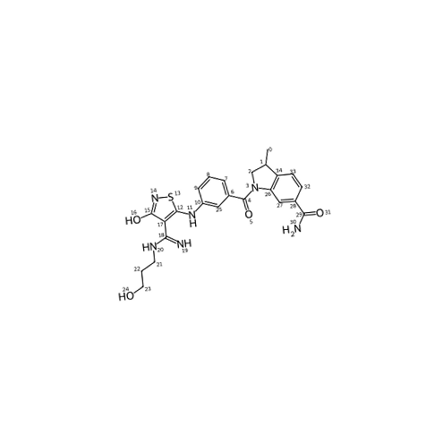 CC1CN(C(=O)c2cccc(Nc3snc(O)c3C(=N)NCCCO)c2)c2cc(C(N)=O)ccc21